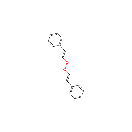 C(=Cc1ccccc1)OOC=Cc1ccccc1